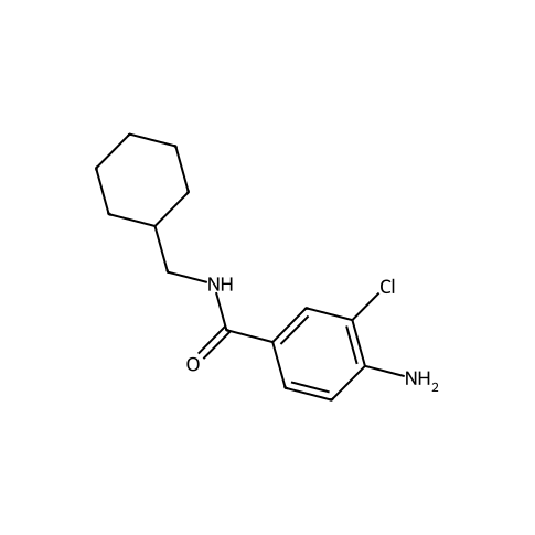 Nc1ccc(C(=O)NCC2CCCCC2)cc1Cl